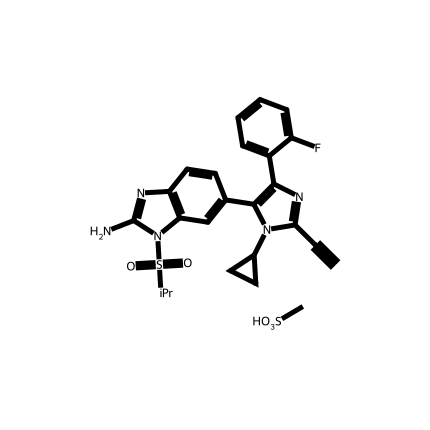 C#Cc1nc(-c2ccccc2F)c(-c2ccc3nc(N)n(S(=O)(=O)C(C)C)c3c2)n1C1CC1.CS(=O)(=O)O